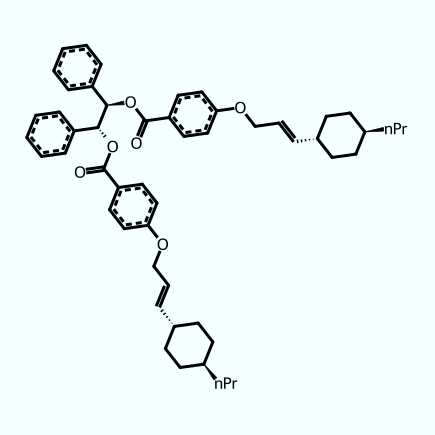 CCC[C@H]1CC[C@H](C=CCOc2ccc(C(=O)O[C@H](c3ccccc3)[C@H](OC(=O)c3ccc(OCC=C[C@H]4CC[C@H](CCC)CC4)cc3)c3ccccc3)cc2)CC1